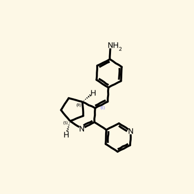 Nc1ccc(/C=C2/C(c3cccnc3)=N[C@H]3CC[C@@H]2C3)cc1